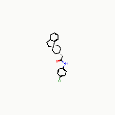 O=C(C[C@H]1CC[C@@]2(CCc3ccccc32)CC1)Nc1ccc(Cl)cc1